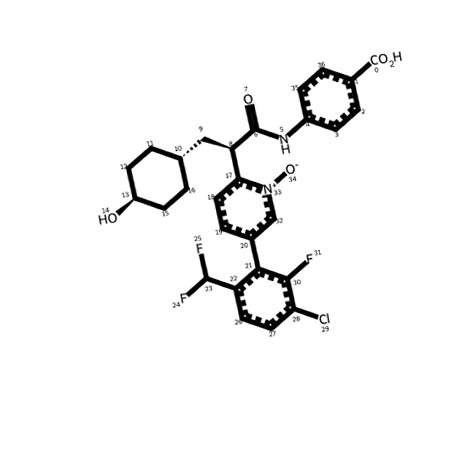 O=C(O)c1ccc(NC(=O)[C@H](C[C@H]2CC[C@H](O)CC2)c2ccc(-c3c(C(F)F)ccc(Cl)c3F)c[n+]2[O-])cc1